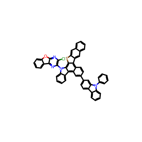 Clc1nc2oc3ccccc3c2nc1-n1c2ccccc2c2c3cc(-c4ccc5c6ccccc6n(-c6ccccc6)c5c4)ccc3c3c4cc5ccccc5cc4sc3c21